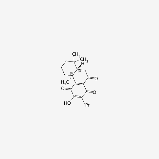 CC(C)C1=C(O)C(=O)C2=C(C(=O)C[C@H]3C(C)(C)CCC[C@]23C)C1=O